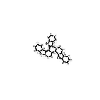 c1ccc2c(c1)nc1c3c(ccc4sc5ccccc5c43)c3c4oc5ccccc5c4ccc3n21